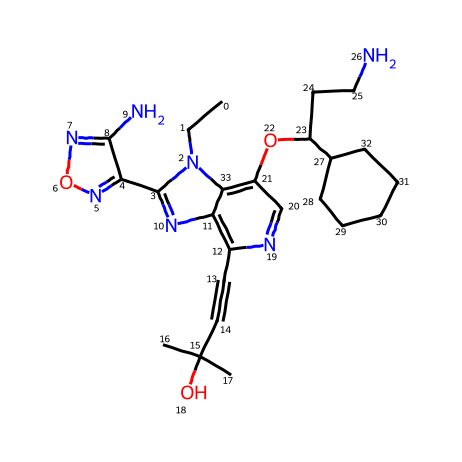 CCn1c(-c2nonc2N)nc2c(C#CC(C)(C)O)ncc(OC(CCN)C3CCCCC3)c21